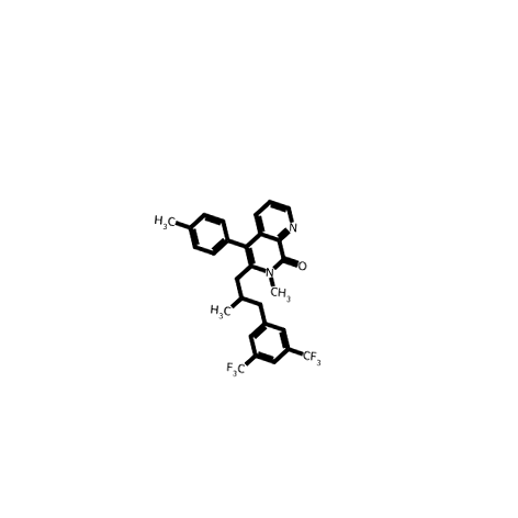 Cc1ccc(-c2c(CC(C)Cc3cc(C(F)(F)F)cc(C(F)(F)F)c3)n(C)c(=O)c3ncccc23)cc1